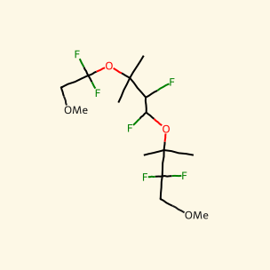 COCC(F)(F)OC(C)(C)C(F)C(F)OC(C)(C)C(F)(F)COC